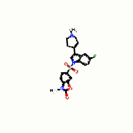 CN1CC=C(c2cn(S(=O)(=O)c3ccc4c(c3)oc(=O)n4C)c3ccc(F)cc23)CC1